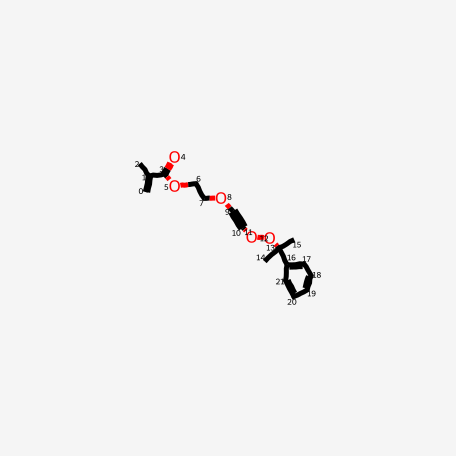 C=C(C)C(=O)OCCOC#COOC(C)(C)c1ccccc1